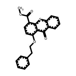 COC(=O)c1ccc(OCCc2ccccc2)c2c(=O)c3ccccc3sc12